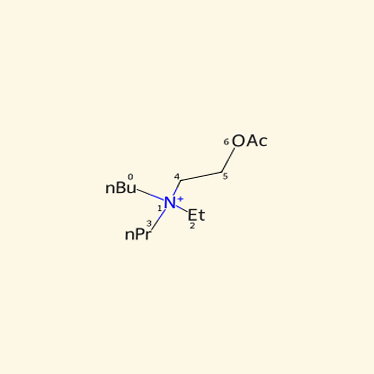 CCCC[N+](CC)(CCC)CCOC(C)=O